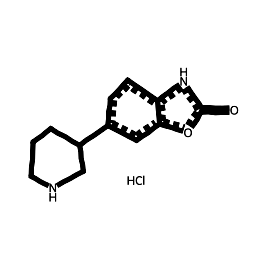 Cl.O=c1[nH]c2ccc(C3CCCNC3)cc2o1